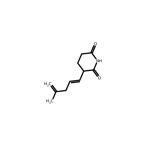 C=C(C)C/C=C/C1CCC(=O)NC1=O